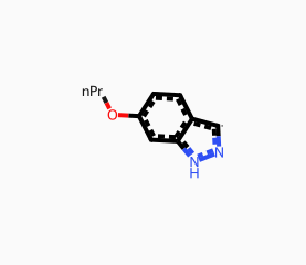 CCCOc1ccc2[c]n[nH]c2c1